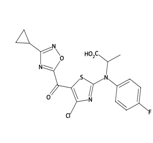 CC(C(=O)O)N(c1ccc(F)cc1)c1nc(Cl)c(C(=O)c2nc(C3CC3)no2)s1